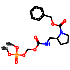 CC(C)(C)OP(=O)(OCOC(=O)NC[C@@H]1CCCN1C(=O)OCc1ccccc1)OC(C)(C)C